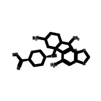 CC1CCC(C(C)C)C(N[C@H]2CC[C@H](C(=O)O)CC2)(c2cc3c(cc2N)OCO3)C1